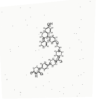 O=C1CCN(c2ccc(N3CCN(C(=O)N4CCN(CCOc5ccc([C@@H]6c7ccc(O)cc7CC[C@@H]6c6ccccc6)cc5)CC4)CC3)cc2)C(=O)N1